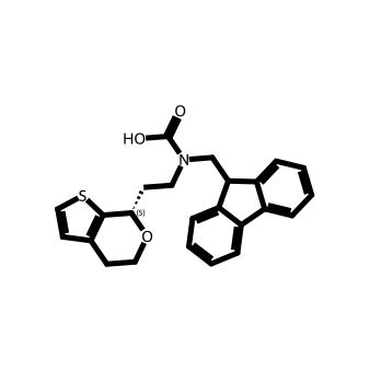 O=C(O)N(CC[C@@H]1OCCc2ccsc21)CC1c2ccccc2-c2ccccc21